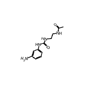 CC(=O)NCCNC(=O)Nc1cccc(N)c1